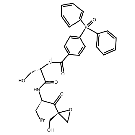 CC(C)C[C@H](NC(=O)[C@H](CO)NC(=O)c1ccc(P(=O)(c2ccccc2)c2ccccc2)cc1)C(=O)[C@@]1(CO)CO1